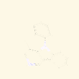 Brc1cncc2c3ccccc3n(-c3ccccc3)c12